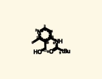 Cc1nccc(NC(=O)C(C)(C)C)c1CO